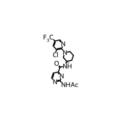 CC(=O)Nc1nccc(C(=O)N[C@@H]2CCCN(c3ncc(C(F)(F)F)cc3Cl)C2)n1